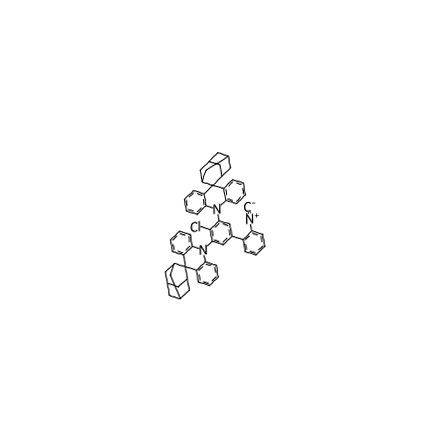 [C-]#[N+]c1ccccc1-c1cc(N2c3ccccc3C3(c4ccccc42)C2CC4CC(C2)CC3C4)c(Cl)c(N2c3ccccc3C3(c4ccccc42)C2CC4CC(C2)CC3C4)c1